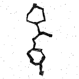 CC(=O)c1ccc(CC(=O)N2CCOCC2)cc1